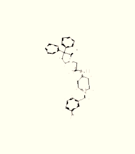 O=C(CN1CCC(c2ccccc2)(c2ccccc2)C1=O)NC1CCN(Cc2cccc(C(F)(F)F)c2)CC1